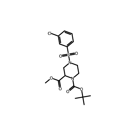 COC(=O)C1CN(S(=O)(=O)c2cccc(Cl)c2)CCN1C(=O)OC(C)(C)C